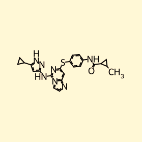 CC1CC1C(=O)Nc1ccc(Sc2cc3nccn3c(Nc3cc(C4CC4)[nH]n3)n2)cc1